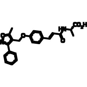 Cc1onc(-c2ccccc2)c1COc1ccc(/C=C/C(=O)N[C@H](C)C(=O)O)cc1